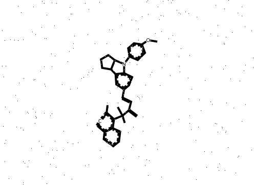 C=C(/C=C/c1ccc2c(c1)C1CCCC1N2c1ccc(OC)cc1)C(C)(C)c1c(C)ccc2ccccc12